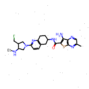 CCNC1CN(c2ccc3c(n2)CCC(NC(=O)c2sc4nc(C)cnc4c2N)C3)CC1CF